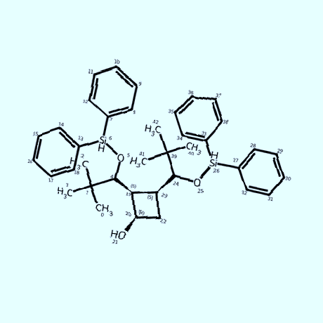 CC(C)(C)C(O[SiH](c1ccccc1)c1ccccc1)[C@@H]1[C@H](O)C[C@@H]1C(O[SiH](c1ccccc1)c1ccccc1)C(C)(C)C